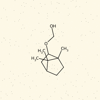 CC1(C)C2CCC1(C)C(OCO)C2